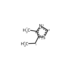 CCc1s[c]nc1C